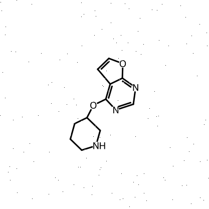 c1nc(OC2CCCNC2)c2ccoc2n1